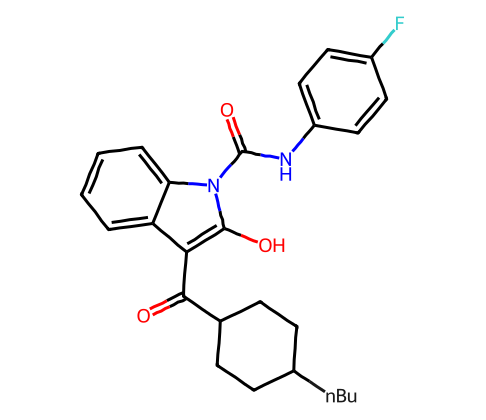 CCCCC1CCC(C(=O)c2c(O)n(C(=O)Nc3ccc(F)cc3)c3ccccc23)CC1